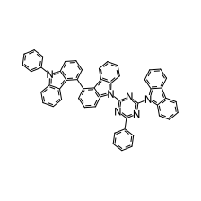 c1ccc(-c2nc(-n3c4ccccc4c4ccccc43)nc(-n3c4ccccc4c4c(-c5cccc6c5c5ccccc5n6-c5ccccc5)cccc43)n2)cc1